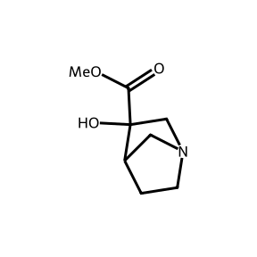 COC(=O)C1(O)CN2CCC1C2